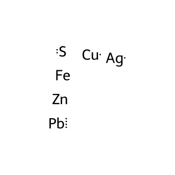 [Ag].[Cu].[Fe].[Pb].[S].[Zn]